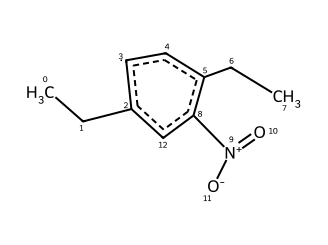 CCc1[c]cc(CC)c([N+](=O)[O-])c1